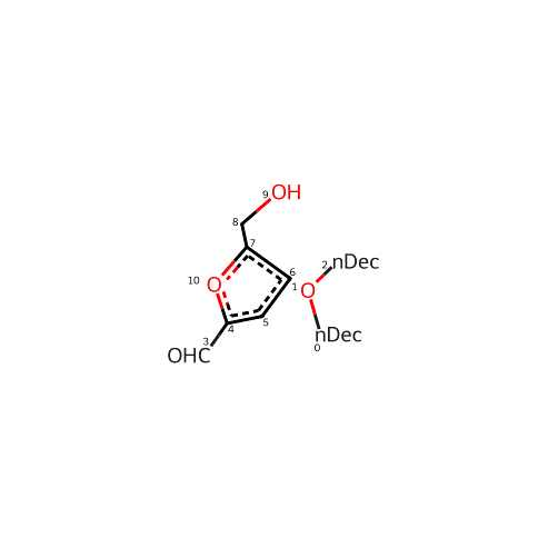 CCCCCCCCCCOCCCCCCCCCC.O=Cc1ccc(CO)o1